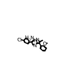 COc1ccccc1-c1c(C)nn2c(N)c(-c3ccc(Cl)cc3)cnc12